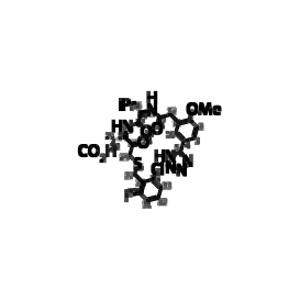 COc1ccc(-c2nnn[nH]2)cc1CC(=O)N[C@H](C(=O)N[C@@H](CC(=O)O)C(=O)CSCc1c(F)cccc1Cl)C(C)C